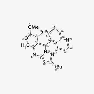 CCCC(C(=O)OC)c1c(C)nc2cc(C(C)(C)C)nn2c1-c1cccc2ncccc12